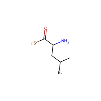 CCC(C)CC(N)C(=O)S